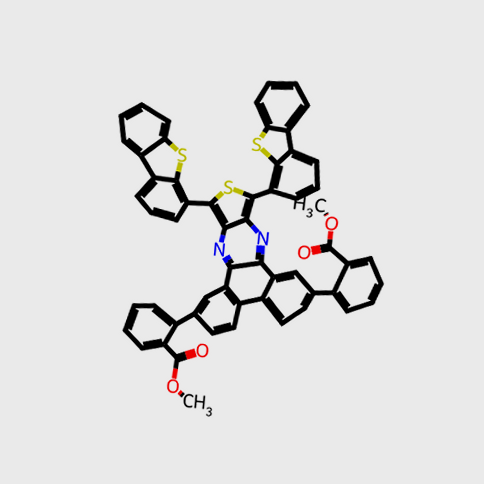 COC(=O)c1ccccc1-c1ccc2c3ccc(-c4ccccc4C(=O)OC)cc3c3nc4c(-c5cccc6c5sc5ccccc56)sc(-c5cccc6c5sc5ccccc56)c4nc3c2c1